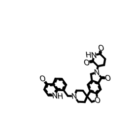 O=C1CCC(N2Cc3cc4c(cc3C2=O)OCC42CCN(Cc3cccc4c(=O)cc[nH]c34)CC2)C(=O)N1